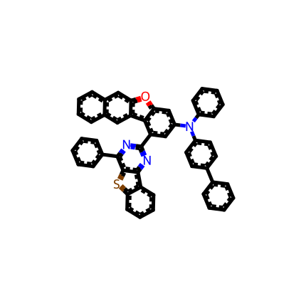 c1ccc(-c2ccc(N(c3ccccc3)c3cc(-c4nc(-c5ccccc5)c5sc6ccccc6c5n4)c4c(c3)oc3cc5ccccc5cc34)cc2)cc1